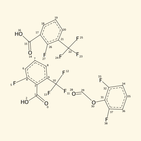 O=C(O)c1c(F)cccc1C(F)(F)F.O=C(O)c1cccc(C(F)(F)F)c1F.O=COc1c(F)cccc1F